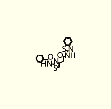 O=C(Cc1csc(NC(=O)c2ccccc2)n1)Nc1nc2ccccc2s1